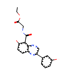 CCOC(=O)CNC(=O)c1c(O)ccc2nc(-c3cccc(O)c3)cnc12